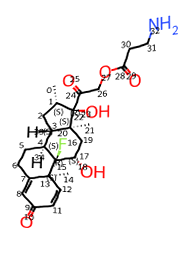 C[C@H]1C[C@H]2[C@@H]3CCC4=CC(=O)C=C[C@]4(C)[C@@]3(F)[C@@H](O)C[C@]2(C)[C@@]1(O)C(=O)COC(=O)CCN